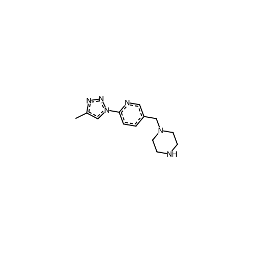 Cc1cn(-c2ccc(CN3CCNCC3)cn2)nn1